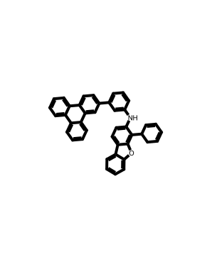 C1=CCC(c2c(Nc3cccc(-c4ccc5c6ccccc6c6ccccc6c5c4)c3)ccc3c2oc2ccccc23)C=C1